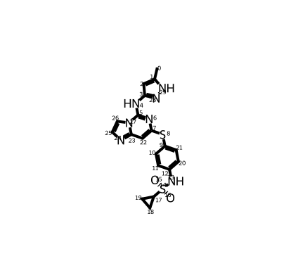 Cc1cc(Nc2nc(Sc3ccc(NS(=O)(=O)C4CC4)cc3)cc3nccn23)n[nH]1